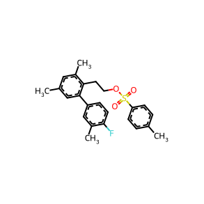 Cc1ccc(S(=O)(=O)OCCc2c(C)cc(C)cc2-c2ccc(F)c(C)c2)cc1